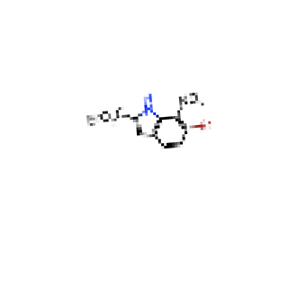 CCOC(=O)c1cc2ccc(Br)c([N+](=O)[O-])c2[nH]1